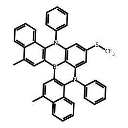 Cc1cc2c(c3ccccc13)N(c1ccccc1)c1cc(SC(F)(F)F)cc3c1B2c1cc(C)c2ccccc2c1N3c1ccccc1